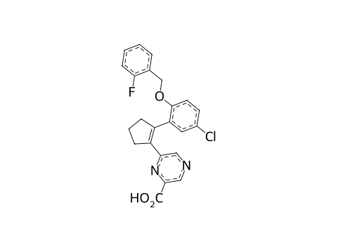 O=C(O)c1cncc(C2=C(c3cc(Cl)ccc3OCc3ccccc3F)CCC2)n1